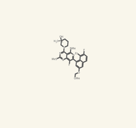 CCc1c(F)ccc2cc(OCOC)cc(-c3nc(NC)c4c(N5CCC[C@@](C)(O)C5)nc(SC)nc4c3F)c12